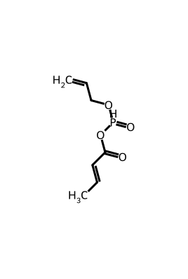 C=CCO[PH](=O)OC(=O)C=CC